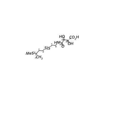 CSC(C)CCSSCCNC(=O)[C@H](O)[C@@H](O)C(=O)O